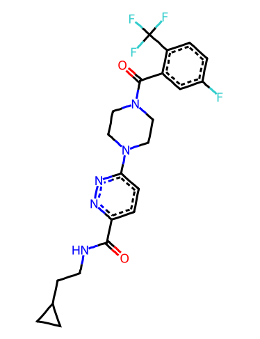 O=C(NCCC1CC1)c1ccc(N2CCN(C(=O)c3cc(F)ccc3C(F)(F)F)CC2)nn1